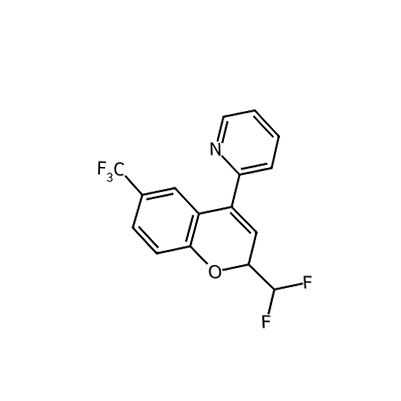 FC(F)C1C=C(c2ccccn2)c2cc(C(F)(F)F)ccc2O1